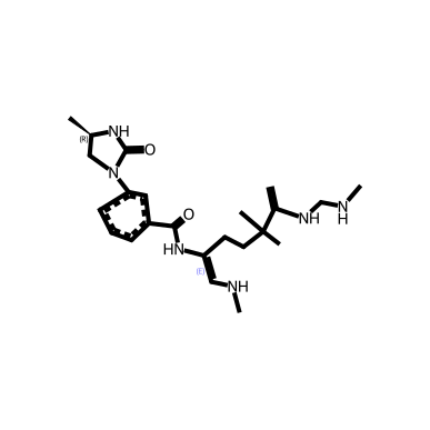 C=C(NCNC)C(C)(C)CC/C(=C\NC)NC(=O)c1cccc(N2C[C@@H](C)NC2=O)c1